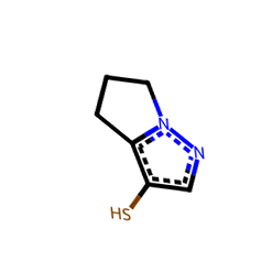 Sc1cnn2c1CCC2